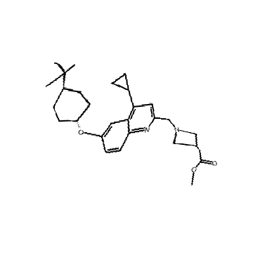 COC(=O)C1CN(Cc2cc(C3CC3)c3cc(O[C@H]4CC[C@H](C(C)(C)C)CC4)ccc3n2)C1